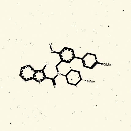 CCOc1ccc(C2=CC=C(OC)CC2)cc1CN(C(=O)c1sc2ccccc2c1Cl)[C@H]1CC[C@H](NC)CC1